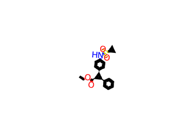 CCOC(=O)[C@@H]1[C@H](c2ccccc2)[C@H]1c1ccc(NS(=O)(=O)C2CC2)cc1